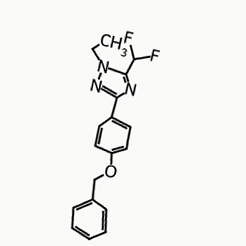 CCn1nc(-c2ccc(OCc3ccccc3)cc2)nc1C(F)F